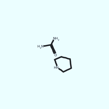 C1CCNCC1.NC(N)=O